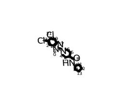 Cn1c(N2CCC(C(=O)NC3CCCC3)CC2)nc2cc(Cl)c(Cl)cc21